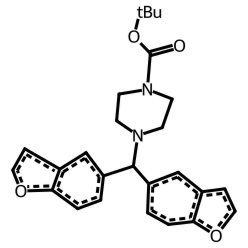 CC(C)(C)OC(=O)N1CCN(C(c2ccc3occc3c2)c2ccc3occc3c2)CC1